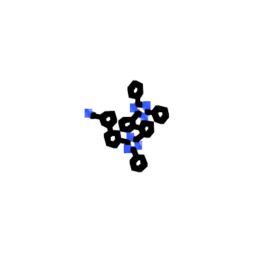 N#Cc1cccc(-c2cccc(-c3nc(-c4ccccc4)nc(-c4ccccc4-c4ccccc4-c4nc(-c5ccccc5)nc(-c5ccccc5)n4)n3)c2)c1